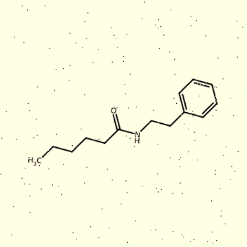 CCCCCC(=O)NCCc1ccccc1